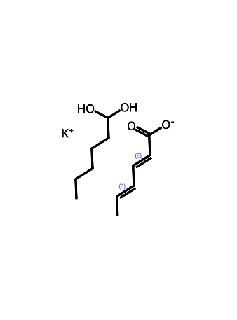 C/C=C/C=C/C(=O)[O-].CCCCCC(O)O.[K+]